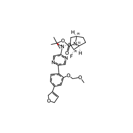 COCOc1cc(C2=CCOC2)ccc1-c1cnc(N(C)[C@@H]2C[C@H]3CC[C@@H]([C@@H]2F)N3C(=O)OC(C)(C)C)cn1